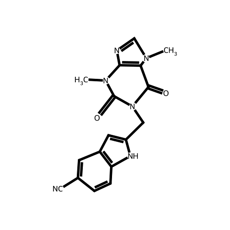 Cn1cnc2c1c(=O)n(Cc1cc3cc(C#N)ccc3[nH]1)c(=O)n2C